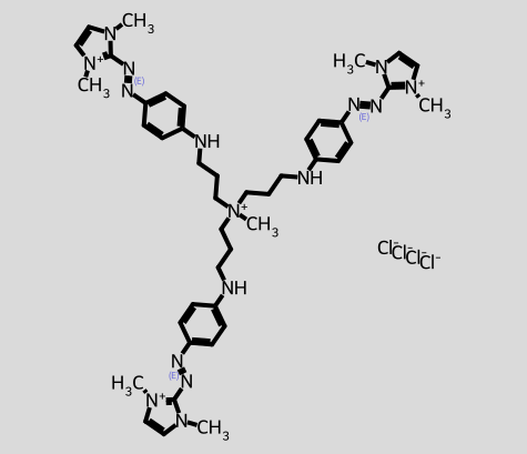 Cn1cc[n+](C)c1/N=N/c1ccc(NCCC[N+](C)(CCCNc2ccc(/N=N/c3n(C)cc[n+]3C)cc2)CCCNc2ccc(/N=N/c3n(C)cc[n+]3C)cc2)cc1.[Cl-].[Cl-].[Cl-].[Cl-]